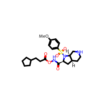 COc1ccc(S(=O)(=O)N2[C@H](C(=O)NOC(=O)CCC3CCCC3)C[C@@H]3CCNC[C@@H]32)cc1